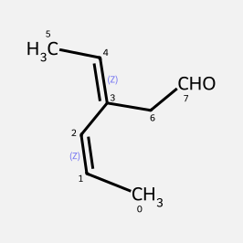 C/C=C\C(=C/C)CC=O